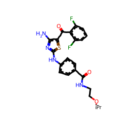 CC(C)OCCNC(=O)c1ccc(Nc2nc(N)c(C(=O)c3c(F)cccc3F)s2)cc1